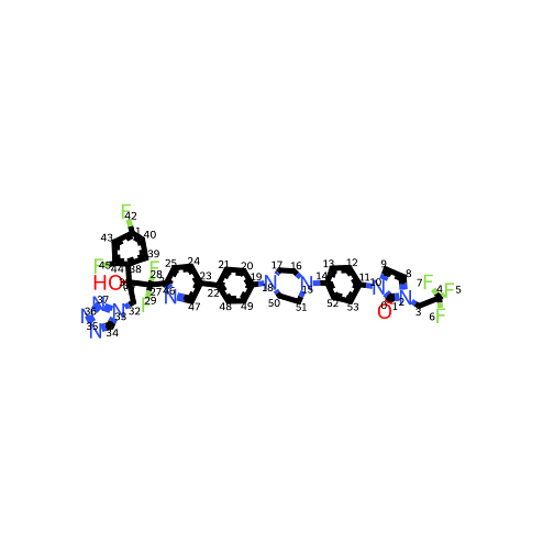 O=c1n(CC(F)(F)F)ccn1-c1ccc(N2CCN(c3ccc(-c4ccc(C(F)(F)[C@](O)(Cn5cnnn5)c5ccc(F)cc5F)nc4)cc3)CC2)cc1